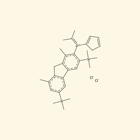 C[C](C)=[Zr+2]([C]1=CC=CC1)[c]1c([Si](C)(C)C)cc2c(c1C)Cc1c(C)cc([Si](C)(C)C)cc1-2.[Cl-].[Cl-]